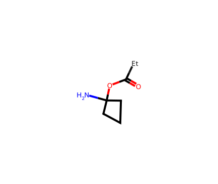 CCC(=O)OC1(N)CCC1